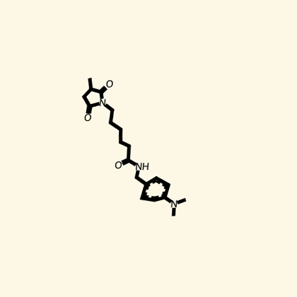 CC1CC(=O)N(CCCCCC(=O)NCc2ccc(N(C)C)cc2)C1=O